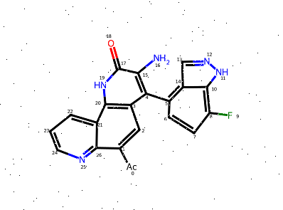 CC(=O)c1cc2c(-c3ccc(F)c4[nH]ncc34)c(N)c(=O)[nH]c2c2cccnc12